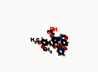 COc1ccc(CC[C@@H](OC(=O)[C@@H]2CCCCN2S(=O)(=O)c2ccc3c(c2)N(C)CCO3)c2cccc(OCC(=O)O)c2)cc1OC